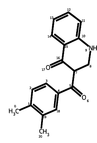 Cc1ccc(C(=O)C2CNc3ccccc3C2=O)cc1C